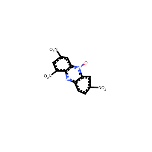 O=[N+]([O-])c1ccc2nc3c([N+](=O)[O-])cc([N+](=O)[O-])cc3[n+]([O-])c2c1